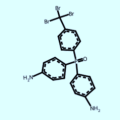 Nc1ccc(P(=O)(c2ccc(N)cc2)c2ccc(C(Br)(Br)Br)cc2)cc1